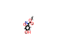 CCOC(=O)c1noc2cc(O)ccc12